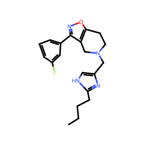 CCCCc1nc(CN2CCc3onc(-c4cccc(F)c4)c3C2)c[nH]1